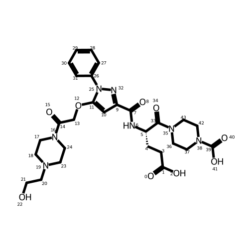 O=C(O)CC[C@H](NC(=O)c1cc(OCC(=O)N2CCN(CCO)CC2)n(-c2ccccc2)n1)C(=O)N1CCN(C(=O)O)CC1